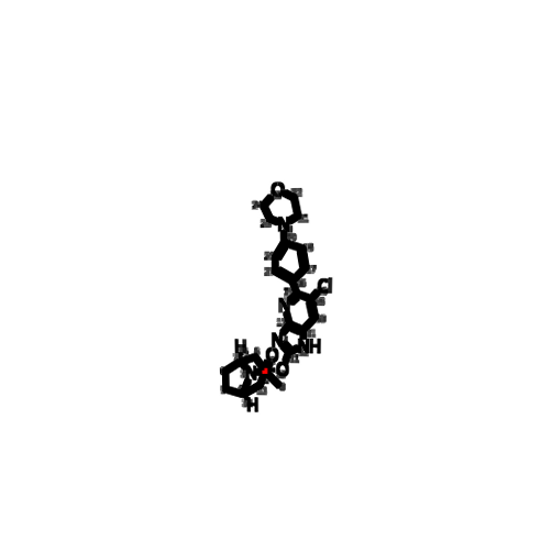 CC(=O)N1[C@@H]2CC[C@H]1C[C@H](Oc1nc3nc(-c4ccc(N5CCOCC5)cc4)c(Cl)cc3[nH]1)C2